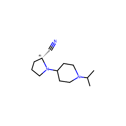 CC(C)N1CCC(N2CCC[C@@H]2C#N)CC1